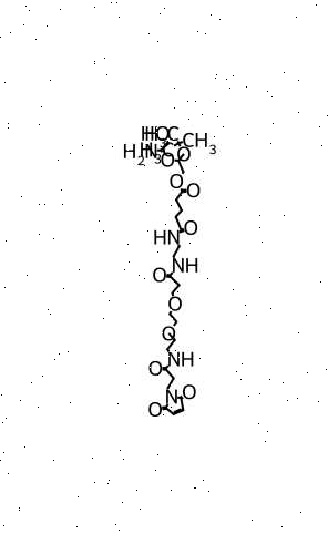 CC(C)(C)OC(COC(=O)CCCC(=O)NCCNC(=O)CCOCCOCCNC(=O)CCN1C(=O)C=CC1=O)OC(N)CO